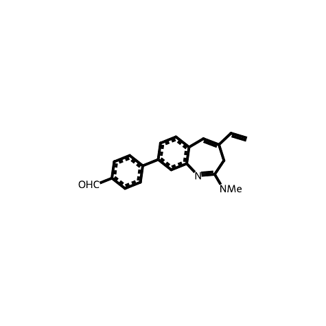 C=CC1=Cc2ccc(-c3ccc(C=O)cc3)cc2N=C(NC)C1